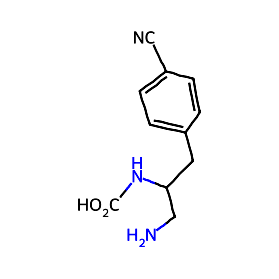 N#Cc1ccc(CC(CN)NC(=O)O)cc1